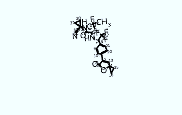 CC(C)(F)C[C@H](N[C@@H](c1ccc(C2=CC3(CC3)OC2=O)cc1)C(F)(F)F)C(=O)NC1(C#N)CC1